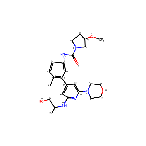 Cc1ccc(NC(=O)N2CC[C@@H](OC(F)(F)F)C2)cc1-c1cc(NC(C)CO)nc(N2CCOCC2)c1